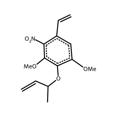 C=Cc1cc(OC)c(OC(C)C=C)c(OC)c1[N+](=O)[O-]